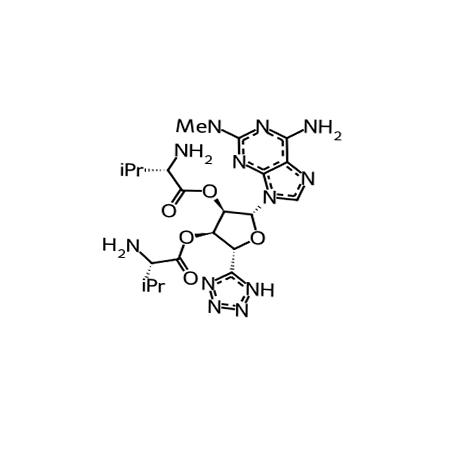 CNc1nc(N)c2ncn([C@@H]3O[C@H](c4nnn[nH]4)[C@@H](OC(=O)[C@@H](N)C(C)C)[C@H]3OC(=O)[C@@H](N)C(C)C)c2n1